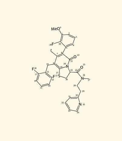 COc1cccc(-c2c(C)c(Cc3c(F)cccc3F)c3n(c2=O)C(C(=O)N(C)CCc2ccccn2)CS3)c1F